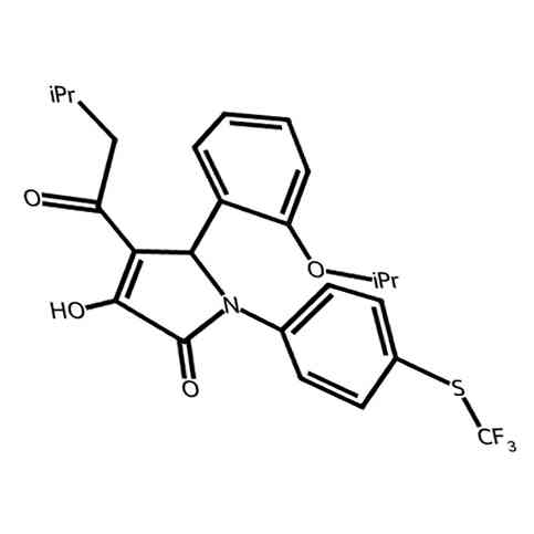 CC(C)CC(=O)C1=C(O)C(=O)N(c2ccc(SC(F)(F)F)cc2)C1c1ccccc1OC(C)C